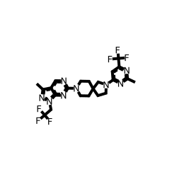 Cc1nc(N2CCC3(CCN(c4ncc5c(C)nn(CC(F)(F)F)c5n4)CC3)C2)cc(C(F)(F)F)n1